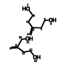 C=C(CCO)CCO.C=C(CO)CCO